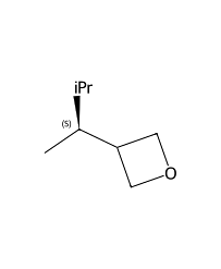 CC(C)[C@H](C)C1COC1